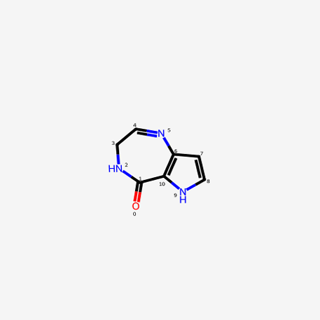 O=C1NCC=Nc2cc[nH]c21